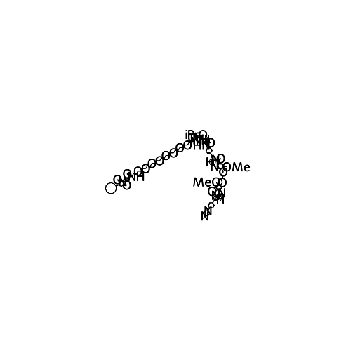 COc1cc2c(cc1OCCCOc1cc3c(cc1OC)C(=O)N1C=C(c4ccc(N5CCN(C)CC5)cc4)C[C@H]1C=N3)N=C[C@@H]1CC(c3ccc(NC(=O)[C@H](C)NC(=O)[C@@H](NC(=O)CCOCCOCCOCCOCCOCCOCCOCCOCCNC(=O)CCN4C(=O)CC(C5CCCCCCCCCC5)C4=O)C(C)C)cc3)=CN1C2=O